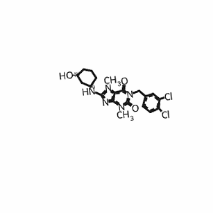 Cn1c(N[C@@H]2CCC[C@@H](O)C2)nc2c1c(=O)n(Cc1ccc(Cl)c(Cl)c1)c(=O)n2C